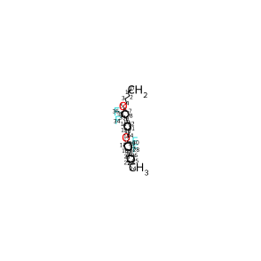 C=CCCCOc1ccc(-c2ccc(COc3ccc(-c4ccc(C)cc4)c(F)c3F)cc2)c(F)c1F